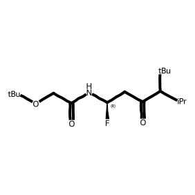 CC(C)C(C(=O)C[C@@H](F)NC(=O)COC(C)(C)C)C(C)(C)C